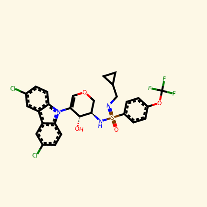 O=S(=NCC1CC1)(N[C@@H]1COC=C(n2c3ccc(Cl)cc3c3cc(Cl)ccc32)[C@H]1O)c1ccc(OC(F)(F)F)cc1